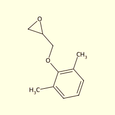 Cc1cccc(C)c1OCC1CO1